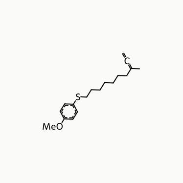 C=C=C(C)CCCCCCCSc1ccc(OC)cc1